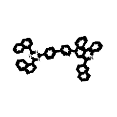 c1ccc2cc(-c3nc4ccccc4c4c3cc(-c3ccc(-c5ccc(-c6nc(-c7cccc8ccccc78)nc(-c7cccc8ccccc78)n6)cc5)cc3)c3ccccc34)ccc2c1